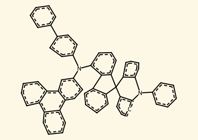 c1ccc(-c2ccc(N(c3ccc4c5ccccc5c5ccccc5c4c3)c3cccc4c3-c3ccccc3C43c4ccccc4N(c4ccccc4)c4ccccc43)cc2)cc1